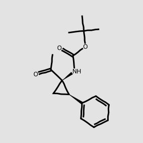 CC(=O)[C@@]1(NC(=O)OC(C)(C)C)C[C@@H]1c1ccccc1